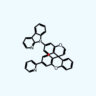 c1ccc(-c2ccc3c(c2)Oc2ccccc2C32c3ccccc3Oc3cc(-n4c5ccccc5c5cccnc54)ccc32)nc1